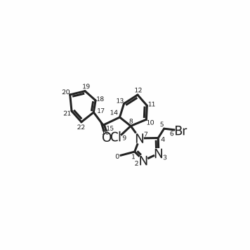 Cc1nnc(CBr)n1C1(Cl)C=CC=CC1C(=O)c1ccccc1